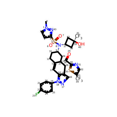 Cn1ccc(S(=O)(=O)N([C@H]2CCC3=Cc4c(cnn4-c4ccc(F)cc4)C[C@]3(C(=O)c3ncc(C(F)(F)F)s3)C2)[C@H]2C[C@@](O)(C(F)(F)F)C2)n1